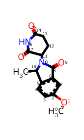 COc1ccc2c(c1)C(=O)N(C1CCC(=O)NC1=O)C2C